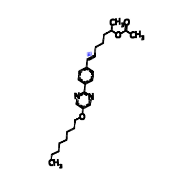 CCCCCCCCOc1cnc(-c2ccc(/C=C/CCCC(C)OC(C)=O)cc2)nc1